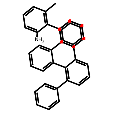 Cc1cccc(N)c1-c1ccccc1-c1ccccc1-c1c(-c2ccccc2)cccc1-c1ccccc1